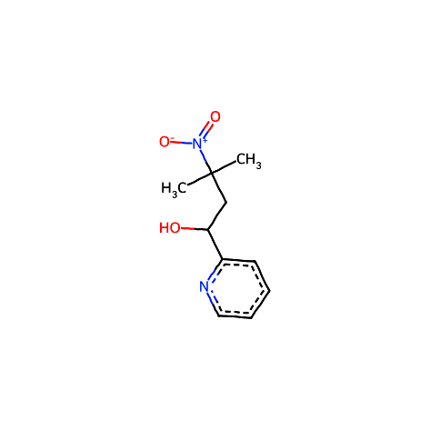 CC(C)(CC(O)c1ccccn1)[N+](=O)[O-]